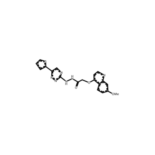 COc1ccc2c(OCC(=O)NNc3ncc(-c4cccs4)nn3)ccnc2c1